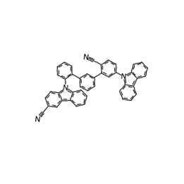 N#Cc1ccc2c(c1)c1ccccc1n2-c1ccccc1-c1cccc(-c2cc(-n3c4ccccc4c4ccccc43)ccc2C#N)c1